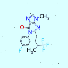 CC(CCc1nc2c(ncn2C)c(=O)n1-c1ccc(F)cc1)C(F)(F)F